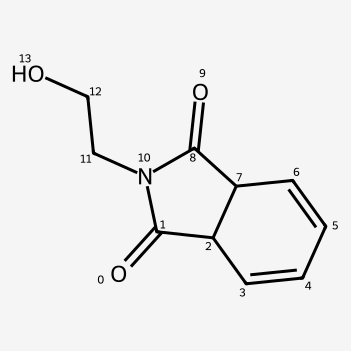 O=C1C2C=CC=CC2C(=O)N1CCO